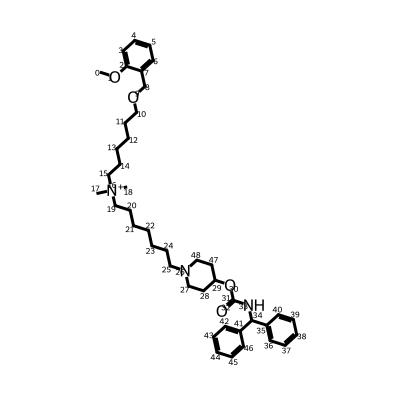 COc1ccccc1COCCCCCC[N+](C)(C)CCCCCCCN1CCC(OC(=O)NC(c2ccccc2)c2ccccc2)CC1